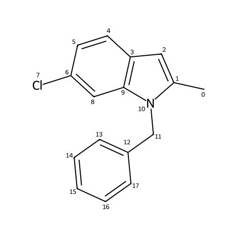 Cc1cc2ccc(Cl)cc2n1Cc1ccccc1